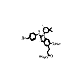 COC(=O)CCc1cc2nc(Nc3ccc(C(C)C)cc3)n([C@H]3C[C@H](C)CC(C)(C)C3)c2cc1OC